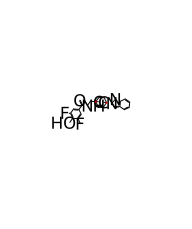 O=C(NCC12CCC(n3cc4ccccc4n3)(CC1)CC2)c1cc(F)c(O)c(F)c1